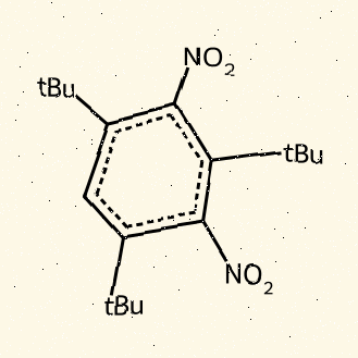 CC(C)(C)c1cc(C(C)(C)C)c([N+](=O)[O-])c(C(C)(C)C)c1[N+](=O)[O-]